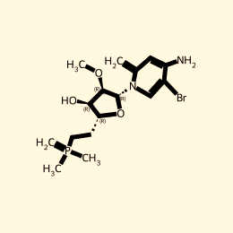 C=C1C=C(N)C(Br)=CN1[C@@H]1O[C@H](CCP(=C)(C)C)[C@@H](O)[C@H]1OC